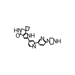 O=C1NCC2(CCC2)c2[nH]c(-c3ccnc(-c4ccc(N5CCNCC5)nc4)c3)cc21